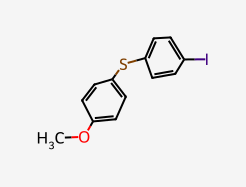 COc1ccc(Sc2ccc(I)cc2)cc1